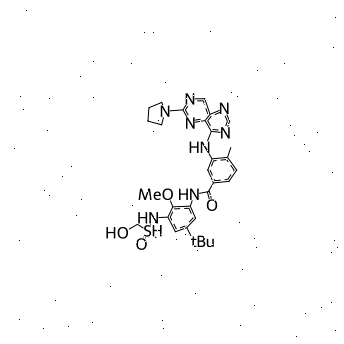 COc1c(NC(=O)c2ccc(C)c(Nc3ncnc4cnc(N5CCCC5)nc34)c2)cc(C(C)(C)C)cc1N[SH](C)(=O)CO